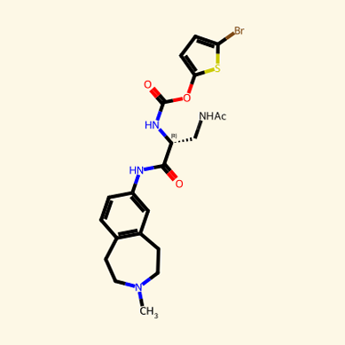 CC(=O)NC[C@@H](NC(=O)Oc1ccc(Br)s1)C(=O)Nc1ccc2c(c1)CCN(C)CC2